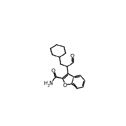 NC(=O)c1oc2ccccc2c1C(C=O)CC1CCCCC1